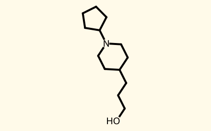 OCCCC1CCN(C2CCCC2)CC1